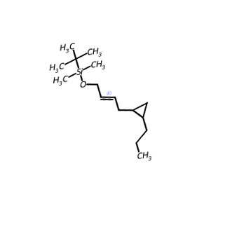 CCCC1CC1C/C=C/CO[Si](C)(C)C(C)(C)C